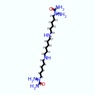 NC(=O)N(N)CCCCCCNCCCCCCNCCCCCCN(N)C(N)=O